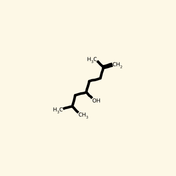 C=C(C)CCC(O)CC(C)C